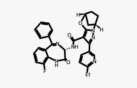 CCc1ccc(-c2nn3c(c2C(=O)N[C@H]2N=C(c4ccccc4)c4cccc(F)c4NC2=O)O[C@@H]2CC[C@H]3C2)cn1